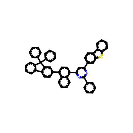 c1ccc(-c2nc(-c3ccc4c(c3)sc3ccccc34)cc(-c3ccc(-c4ccc5c(c4)C(c4ccccc4)(c4ccccc4)c4ccccc4-5)c4ccccc34)n2)cc1